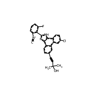 [C-]#[N+]c1cccc(F)c1-c1nc2c3ccc(C#CC(C)(C)O)cc3c3cc(Cl)ccc3c2[nH]1